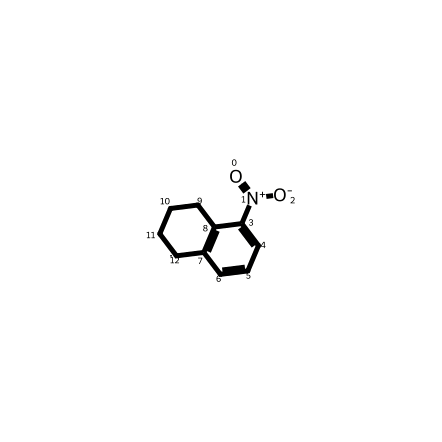 O=[N+]([O-])c1cccc2c1CCC[CH]2